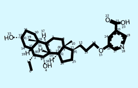 CC[C@H]1[C@@H](O)[C@@H]2[C@H](CC[C@]3(C)[C@@H](CCCOc4cncc(C(=O)O)c4)CC[C@@H]23)[C@@]2(C)CC[C@@H](O)C[C@@H]12